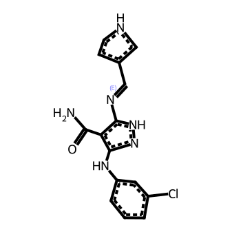 NC(=O)c1c(Nc2cccc(Cl)c2)n[nH]c1/N=C/c1cc[nH]c1